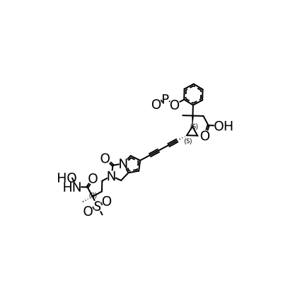 CC(CC(=O)O)(c1ccccc1OP=O)[C@H]1C[C@@H]1C#CC#Cc1cc2n(c1)C(=O)N(CC[C@](C)(C(=O)NO)S(C)(=O)=O)C2